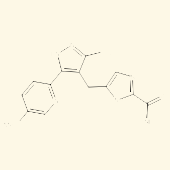 COc1ccc(-c2[nH]nc(C(F)(F)F)c2Cc2cnc(C(N)=O)[nH]2)nc1